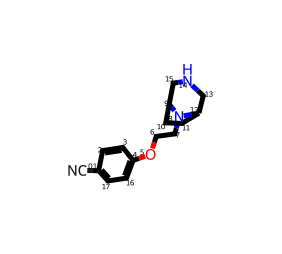 N#Cc1ccc(OCCN2C3CCC2CNC3)cc1